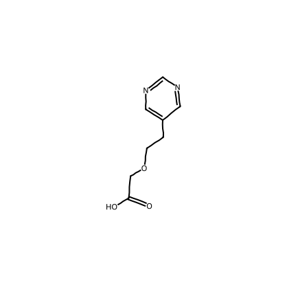 O=C(O)COCCc1cncnc1